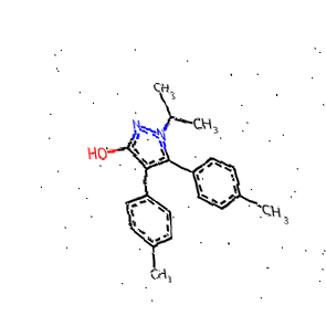 Cc1ccc(-c2c(O)nn(C(C)C)c2-c2ccc(C)cc2)cc1